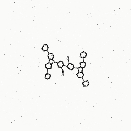 N#Cc1cc(-n2c3ccc(-c4ccccc4)cc3c3ccc(-c4ccccc4)cc32)ccc1-c1ccc(-n2c3ccc(-c4ccccc4)cc3c3ccc(-c4ccccc4)cc32)cc1C#N